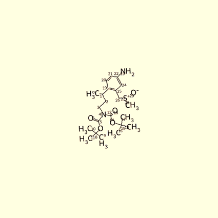 CC(CCN(C(=O)OC(C)(C)C)C(=O)OC(C)(C)C)c1ccc(N)cc1C[S+](C)[O-]